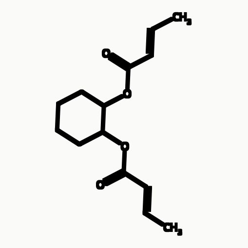 CC=CC(=O)OC1CCCCC1OC(=O)C=CC